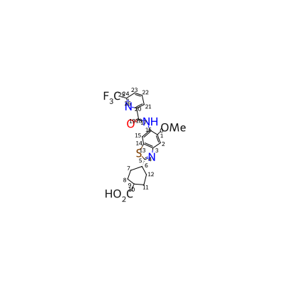 COc1cc2nc([C@H]3CC[C@H](C(=O)O)CC3)sc2cc1NC(=O)c1cccc(C(F)(F)F)n1